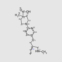 CNC/C(=C\F)COc1cnc(N2CCC(C)(C(=O)O)CC2)nc1